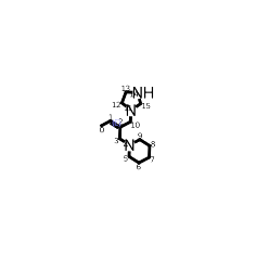 C/C=C(\CN1CCCCC1)CN1CCNC1